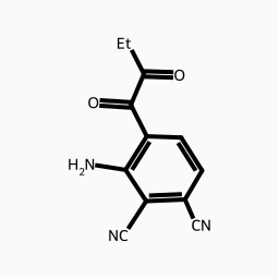 CCC(=O)C(=O)c1ccc(C#N)c(C#N)c1N